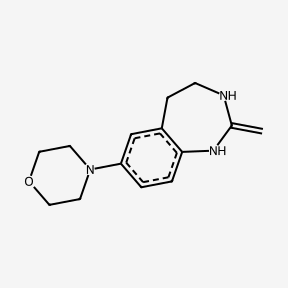 C=C1NCCc2cc(N3CCOCC3)ccc2N1